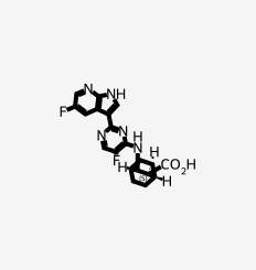 O=C(O)[C@@H]1C(Nc2nc(-c3c[nH]c4ncc(F)cc34)ncc2F)[C@H]2CC[C@@H]1CC2